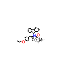 C=CCOc1ccc(C[C@H](C(=O)O)N(C(=O)OC)C2c3ccccc3-c3ccccc32)cc1